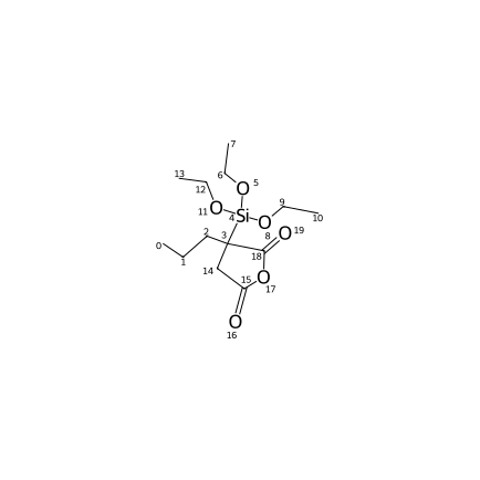 CCCC1([Si](OCC)(OCC)OCC)CC(=O)OC1=O